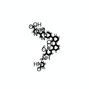 COc1nc(-c2cccc(-c3cccc(-c4ccn5c(=O)c(C6=NC[C@@H](C(=O)O)N6)cnc5c4)c3Cl)c2Cl)ccc1CNC[C@@H]1CCC(=O)N1